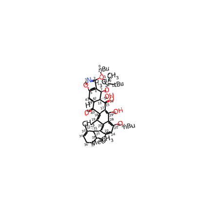 CCCCOc1noc2c1[C@@H](O[Si](C)(C)C(C)(C)C)[C@@]1(O)C(=O)c3c(c4c5c(c(OC)cc(OCCCC)c5c3O)[C@]3(C4)C(C)=CCCC3C)C(=O)[C@H]1C2